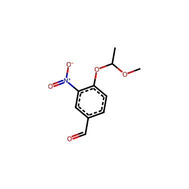 COC(C)Oc1ccc(C=O)cc1[N+](=O)[O-]